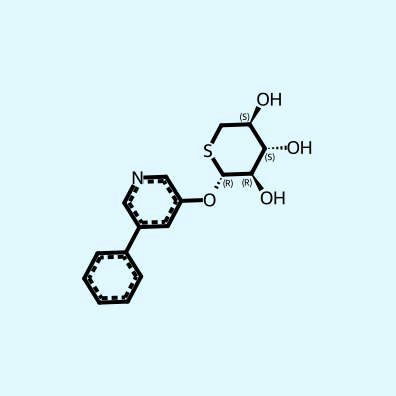 O[C@@H]1[C@@H](O)[C@H](Oc2cncc(-c3ccccc3)c2)SC[C@H]1O